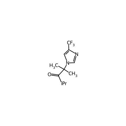 CC(C)C(=O)C(C)(C)n1cnc(C(F)(F)F)c1